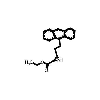 CCOC(=O)C1NC1CCc1c2ccccc2cc2ccccc12